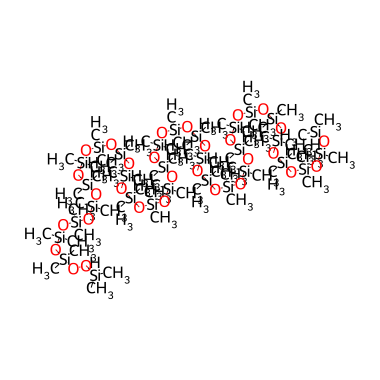 C[SiH](C)OO[Si](C)(C)O[Si](C)(C)O[Si](C)(C)O[Si](C)(C)O[Si](C)(C)O[Si](C)(C)O[Si](C)(C)O[Si](C)(C)O[Si](C)(C)O[Si](C)(C)O[Si](C)(C)O[Si](C)(C)O[Si](C)(C)O[Si](C)(C)O[Si](C)(C)O[Si](C)(C)O[Si](C)(C)O[Si](C)(C)O[Si](C)(C)O[Si](C)(C)O[Si](C)(C)O[Si](C)(C)O[Si](C)(C)O[Si](C)(C)O[Si](C)(C)O[Si](C)(C)O[Si](C)(C)O[Si](C)(C)O[SiH](C)C